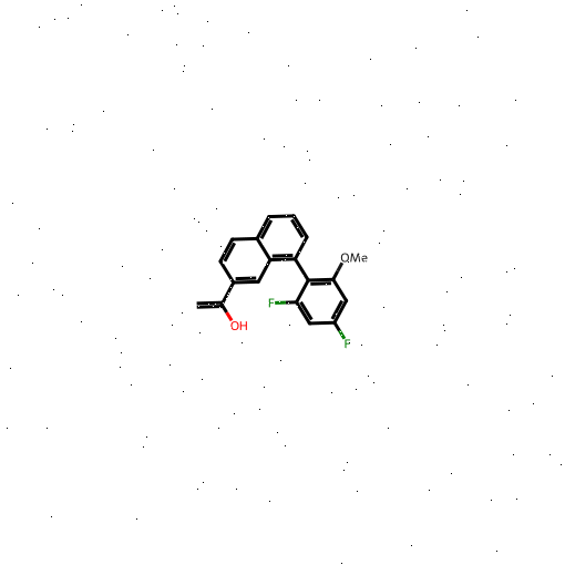 C=C(O)c1ccc2cccc(-c3c(F)cc(F)cc3OC)c2c1